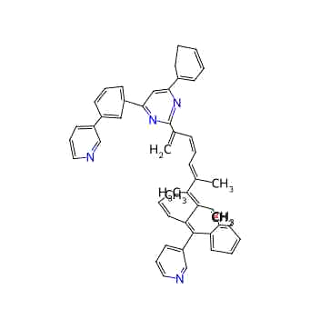 C=CC(=C(C)\C(C)=C\C=C/C(=C)c1nc(C2=CC=CCC2)cc(-c2cccc(-c3cccnc3)c2)n1)/C(/C=C\C)=C(/c1cccnc1)c1ccccc1C